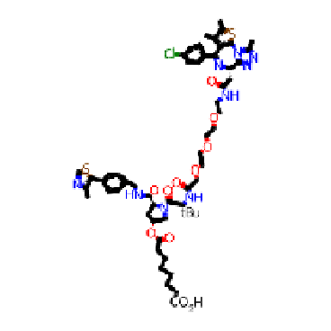 Cc1ncsc1-c1ccc(CNC(=O)[C@@H]2C[C@@H](OC(=O)CCCCCCC(=O)O)CN2C(=O)[C@@H](NC(=O)COCCOCCOCCNC(=O)C[C@@H]2N=C(c3ccc(Cl)cc3)c3c(sc(C)c3C)-n3c(C)nnc32)C(C)(C)C)cc1